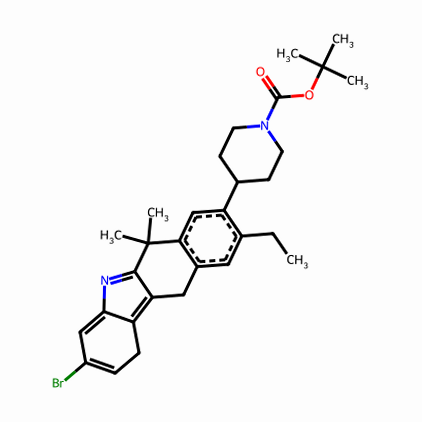 CCc1cc2c(cc1C1CCN(C(=O)OC(C)(C)C)CC1)C(C)(C)C1=NC3=CC(Br)=CCC3=C1C2